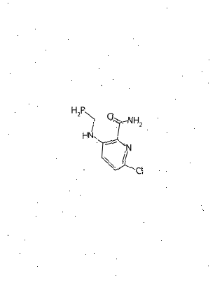 NC(=O)c1nc(Cl)ccc1NCP